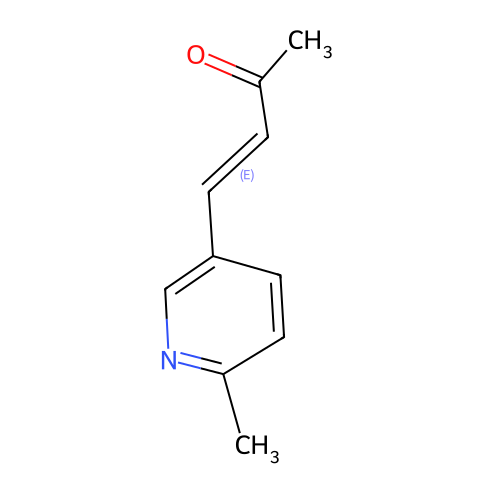 CC(=O)/C=C/c1ccc(C)nc1